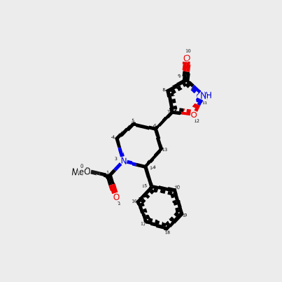 COC(=O)N1CCC(c2cc(=O)[nH]o2)CC1c1ccccc1